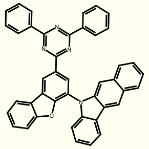 c1ccc(-c2nc(-c3ccccc3)nc(-c3cc(-n4c5ccccc5c5cc6ccccc6cc54)c4oc5ccccc5c4c3)n2)cc1